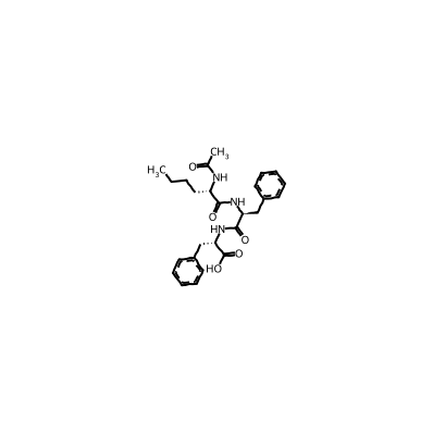 CCCC[C@H](NC(C)=O)C(=O)N[C@@H](Cc1ccccc1)C(=O)N[C@@H](Cc1ccccc1)C(=O)O